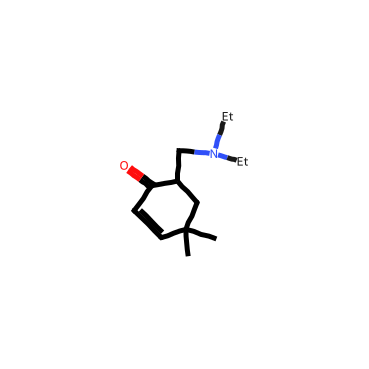 CCN(CC)CC1CC(C)(C)C=CC1=O